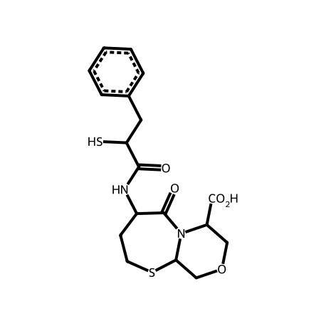 O=C(NC1CCSC2COCC(C(=O)O)N2C1=O)C(S)Cc1ccccc1